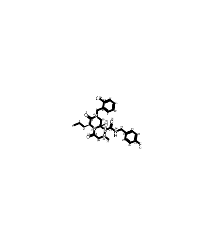 CCC[C@H]1C(=O)N(Cc2ccccc2Cl)C[C@H]2N1C(=O)CN(C)N2C(=O)NCc1ccc(F)cc1